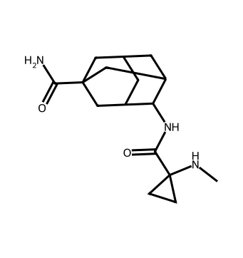 CNC1(C(=O)NC2C3CC4CC2CC(C(N)=O)(C4)C3)CC1